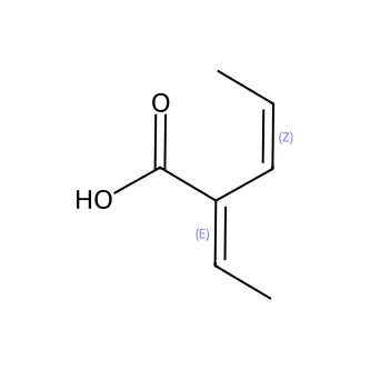 C/C=C\C(=C/C)C(=O)O